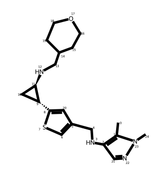 Cc1c(NCc2csc([C@@H]3C[C@H]3NCC3CCOCC3)c2)cnn1C